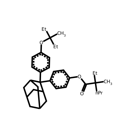 CCCC(C)(CC)C(=O)Oc1ccc(C2(c3ccc(OC(C)(CC)CC)cc3)C3CC4CC(C3)CC2C4)cc1